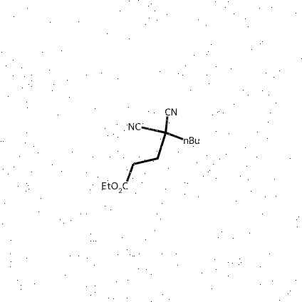 CCCCC(C#N)(C#N)CCC(=O)OCC